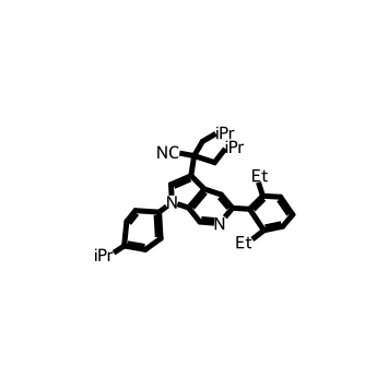 CCc1cccc(CC)c1-c1cc2c(C(C#N)(CC(C)C)CC(C)C)cn(-c3ccc(C(C)C)cc3)c2cn1